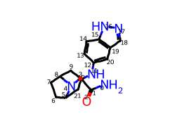 NC(=O)CN1C2CCC1CC(Nc1ccc3[nH]ncc3c1)C2